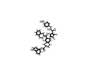 Cc1c(C(=O)NCc2ccc(O)cc2)cc(-c2cc3c(cc2C(=O)N2Cc4ccccc4C[C@H]2C)CN(C(=O)Oc2ccnc4[nH]ccc24)CC3)n1C